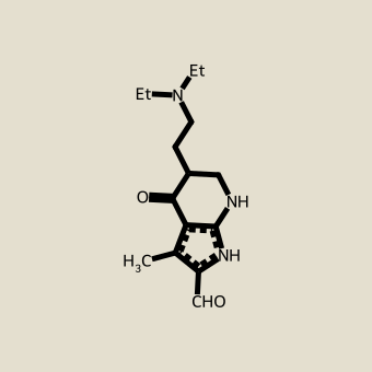 CCN(CC)CCC1CNc2[nH]c(C=O)c(C)c2C1=O